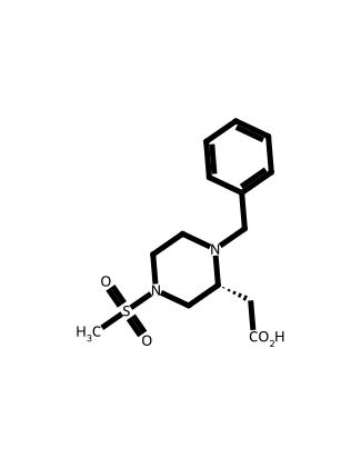 CS(=O)(=O)N1CCN(Cc2ccccc2)[C@H](CC(=O)O)C1